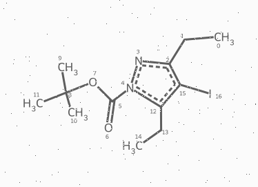 CCc1nn(C(=O)OC(C)(C)C)c(CC)c1I